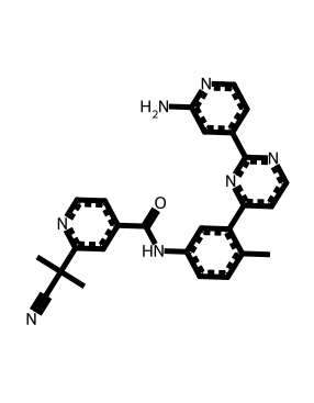 Cc1ccc(NC(=O)c2ccnc(C(C)(C)C#N)c2)cc1-c1ccnc(-c2ccnc(N)c2)n1